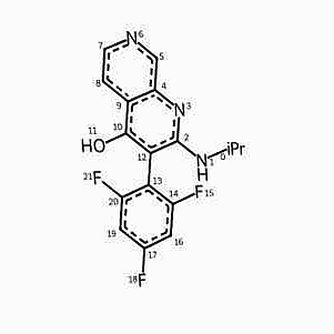 CC(C)Nc1nc2cnccc2c(O)c1-c1c(F)cc(F)cc1F